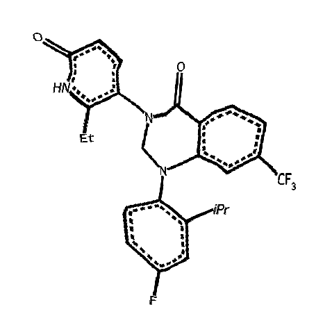 CCc1[nH]c(=O)ccc1N1CN(c2ccc(F)cc2C(C)C)c2cc(C(F)(F)F)ccc2C1=O